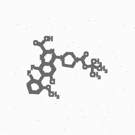 COc1cccc(F)c1-c1c(Cl)cc2c(N3CCN(C(=O)OC(C)(C)C)CC3)nc(C(=O)O)nc2c1F